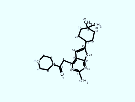 Cc1nc(CC(=O)N2CCOCC2)c2cc(C3CCC(C)(C)CC3)sc2n1